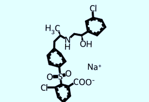 C[C@H](Cc1ccc(S(=O)(=O)c2c(Cl)cccc2C(=O)[O-])cc1)NC[C@H](O)c1cccc(Cl)c1.[Na+]